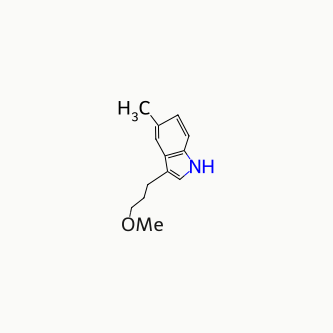 COCCCc1c[nH]c2ccc(C)cc12